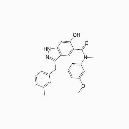 COc1cccc(N(C)C(=O)c2cc3c(Cc4cccc(C)c4)n[nH]c3cc2O)c1